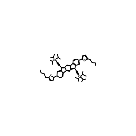 CCCCc1ccc(-c2ccc3c(c2)C(C#C[Si](C(C)C)(C(C)C)C(C)C)=c2cc4c(cc2-3)=C(C#C[Si](C(C)C)(C(C)C)C(C)C)C2=CC(c3ccc(CCCC)s3)CC=C24)s1